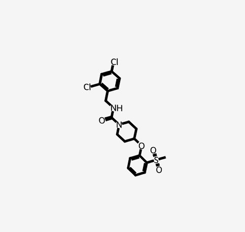 CS(=O)(=O)c1ccccc1OC1CCN(C(=O)NCc2ccc(Cl)cc2Cl)CC1